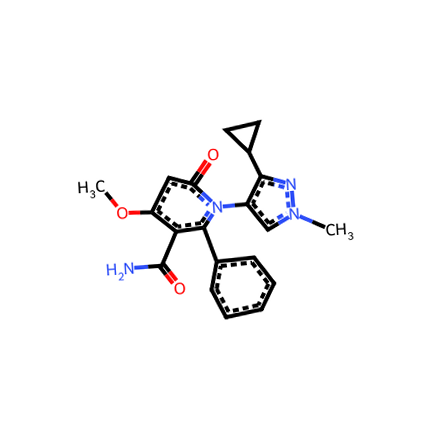 COc1cc(=O)n(-c2cn(C)nc2C2CC2)c(-c2ccccc2)c1C(N)=O